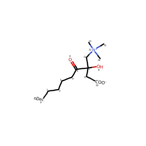 CCCCCCCCCCCCCCC(=O)C(O)(CC(=O)[O-])C[N+](C)(C)C